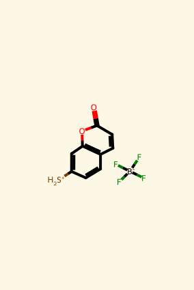 F[B-](F)(F)F.O=c1ccc2ccc([SH2+])cc2o1